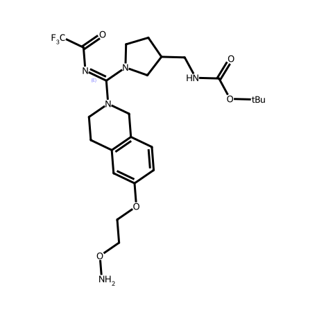 CC(C)(C)OC(=O)NCC1CCN(/C(=N\C(=O)C(F)(F)F)N2CCc3cc(OCCON)ccc3C2)C1